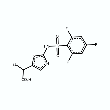 CCC(C(=O)O)c1cnc(NS(=O)(=O)c2c(F)cc(F)cc2F)s1